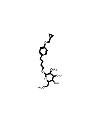 CC(=O)OCC1OC(OCCCCc2ccc(OCC3CC3)cc2)C(OC(C)=O)C(OC(C)=O)C1OC(C)=O